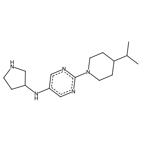 CC(C)C1CCN(c2ncc(NC3CCNC3)cn2)CC1